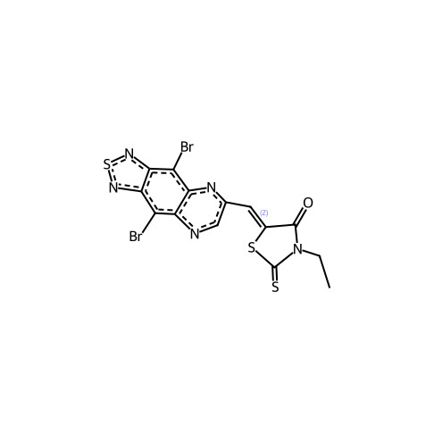 CCN1C(=O)/C(=C/c2cnc3c(Br)c4nsnc4c(Br)c3n2)SC1=S